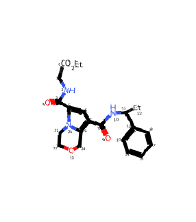 CCOC(=O)CNC(=O)c1cc(C(=O)NC(CC)c2ccccc2)c2n1CCOC2